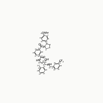 COc1ccc(C2CCCN2C(=O)c2cccc(C(=O)N[C@@H](Cc3ccccc3)[C@H](O)CNCc3cccc(C(F)(F)F)c3)c2)cc1